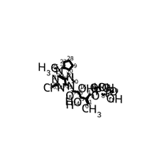 C/C=C(/COP(=O)(O)CP(=O)(O)O)[C@@H](O)[C@@H](O)[C@@H](O)n1cnc2c(N(C)C3CCCC3)nc(Cl)nc21